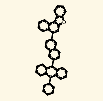 c1ccc(-c2c3ccccc3c(-c3ccc4cc(-c5cc6oc7ccccc7c6c6ccccc56)ccc4c3)c3ccccc23)cc1